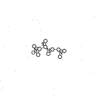 O=c1c2ccccc2c2cc(-c3cc(-n4c5ccccc5c5cc(-c6ccc7c8ccccc8n(-c8ccccc8)c7c6)ccc54)cc4c3sc3ccccc34)cc3c4ccccc4n1c23